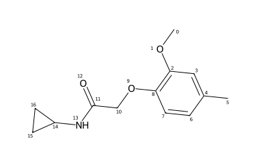 COc1cc(C)ccc1OCC(=O)NC1CC1